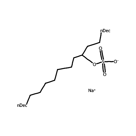 CCCCCCCCCCCCCCCCCC(CCCCCCCCCCCC)OS(=O)(=O)[O-].[Na+]